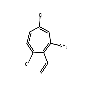 C=CC1=C(N)C=C(Cl)C=C=C1Cl